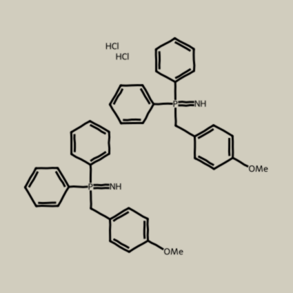 COc1ccc(CP(=N)(c2ccccc2)c2ccccc2)cc1.COc1ccc(CP(=N)(c2ccccc2)c2ccccc2)cc1.Cl.Cl